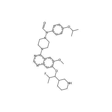 COc1cc2c(N3CCN(N(C=O)c4ccc(OC(C)C)cc4)CC3)ncnc2cc1OC(C(C)F)C1CCCNC1